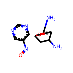 NC1CC2CC(N)C1CO2.O=Nc1cncnc1